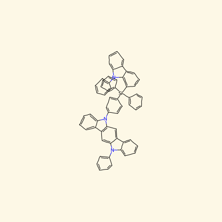 c1ccc(-n2c3ccccc3c3cc4c(cc32)c2ccccc2n4-c2ccc([Si](c3ccccc3)(c3ccccc3)c3cccc4c5ccccc5n(-c5ccccc5)c34)cc2)cc1